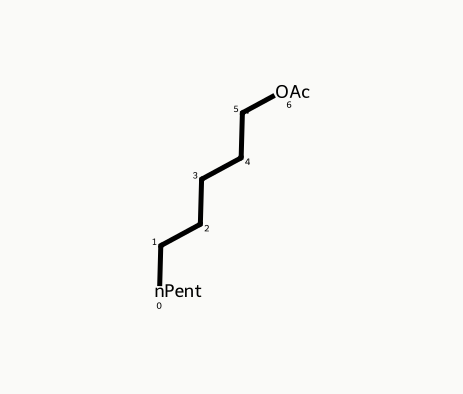 CCCCCCCCC[CH]OC(C)=O